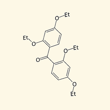 CCOc1ccc(C(=O)c2ccc(OCC)cc2OCC)c(OCC)c1